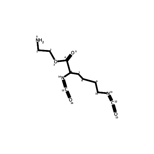 NCCOC(=O)C(CCCCN=C=O)N=C=O